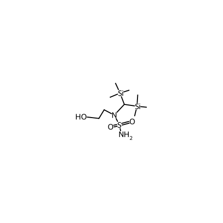 C[Si](C)(C)C(N(CCO)S(N)(=O)=O)[Si](C)(C)C